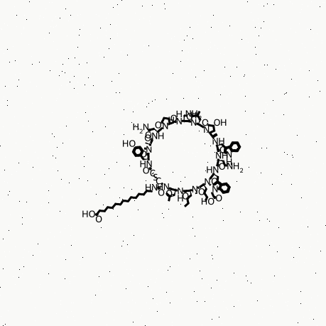 C=C1N[C@@H](Cc2c[nH]c3ccccc23)C(=O)N[C@@H](CCN)C(=O)N[C@@H](Cc2cn(CC(=O)O)c3ccccc23)C(=O)N(C)[C@@H](CCCC)C(=O)N(C)[C@@H](CCCC)C(=O)N[C@@H](CC(C)C)C(=O)N[C@H](C(=O)NCCCCCCCCCCCCCCC(=O)O)CSCC(=O)N[C@@H](Cc2ccc(O)cc2)C(=O)N(C)[C@@H](C)C(=O)N[C@@H](CC(N)=O)C(=O)N2CCC[C@H]2C(=O)N[C@@H](CN)C(=O)N[C@@H](CC(C)C)C(=O)N2C[C@H](O)CC12